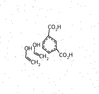 C=CO.C=CO.O=C(O)c1cccc(C(=O)O)c1